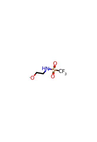 [O]CCNS(=O)(=O)C(F)(F)F